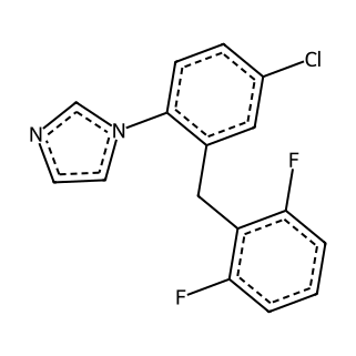 Fc1cccc(F)c1Cc1cc(Cl)ccc1-n1ccnc1